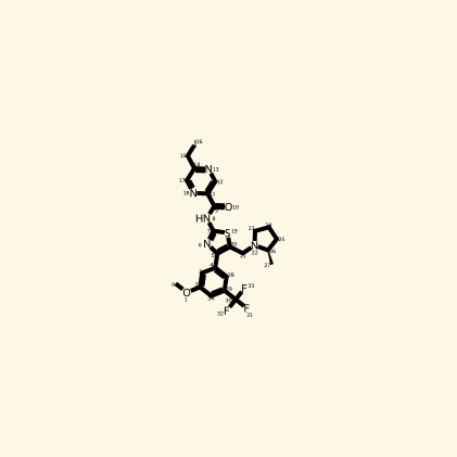 COc1cc(-c2nc(NC(=O)c3cnc(CI)cn3)sc2CN2CCC[C@H]2C)cc(C(F)(F)F)c1